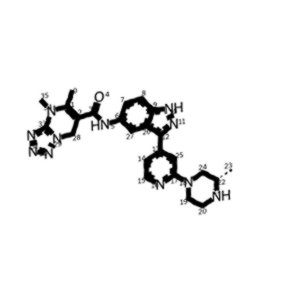 CC1=C(C(=O)Nc2ccc3[nH]nc(-c4ccnc(N5CCN[C@@H](C)C5)c4)c3c2)Cn2nnnc2N1C